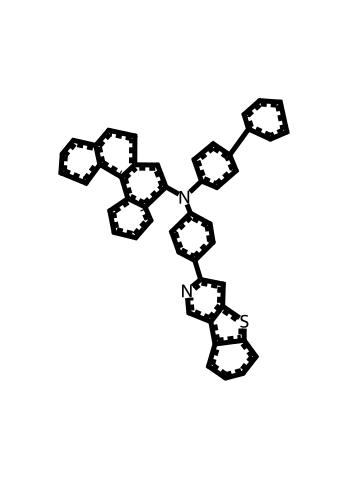 c1ccc(-c2ccc(N(c3ccc(-c4cc5sc6ccccc6c5cn4)cc3)c3cc4ccc5ccccc5c4c4ccccc34)cc2)cc1